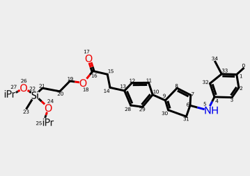 Cc1ccc(NC2C=CC(c3ccc(CCC(=O)OCCC[Si](C)(OC(C)C)OC(C)C)cc3)=CC2)cc1C